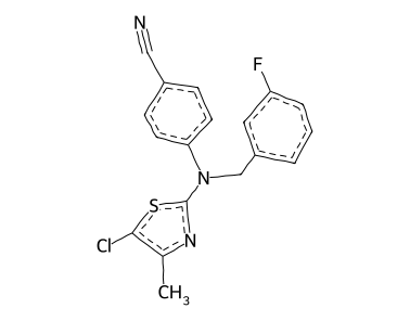 Cc1nc(N(Cc2cccc(F)c2)c2ccc(C#N)cc2)sc1Cl